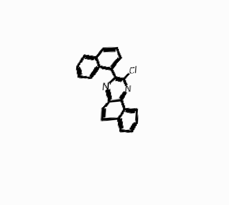 Clc1nc2c(ccc3ccccc32)nc1-c1cccc2ccccc12